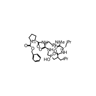 CNC(=O)[C@H](CC(C)C)NC(=O)C(CC(C)C)CP(=O)(O)CNC(=O)[C@H](CC(C)C)NC(=O)[C@@H]1CCCN1C(=O)OCc1ccccc1